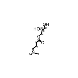 CN(C)CCCC(=O)OC[C@H](O)CO